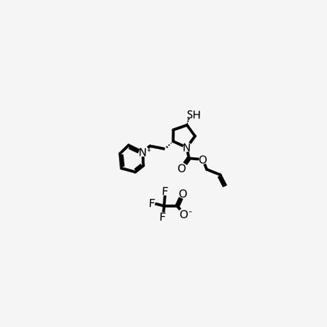 C=CCOC(=O)N1C[C@@H](S)C[C@H]1CC[n+]1ccccc1.O=C([O-])C(F)(F)F